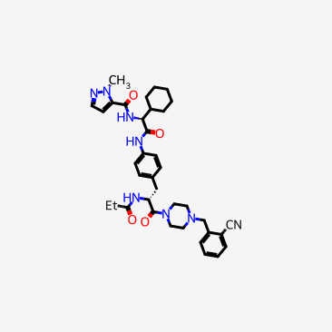 CCC(=O)N[C@H](Cc1ccc(NC(=O)[C@@H](NC(=O)c2ccnn2C)C2CCCCC2)cc1)C(=O)N1CCN(Cc2ccccc2C#N)CC1